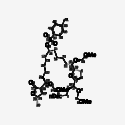 CCCCCCCCCCCC[C@H](OCOC)[C@@H]1CC[C@@H]([C@H](CCCCC(CCCCC[C@@H](OCOC)C2=C[C@H](C)OC2=O)OS(=O)(=O)c2ccc(C)cc2)OCOC)O1